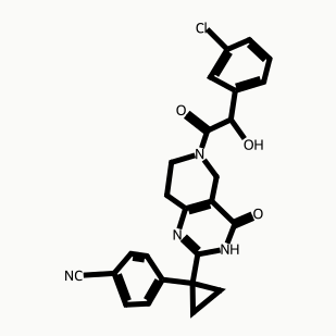 N#Cc1ccc(C2(c3nc4c(c(=O)[nH]3)CN(C(=O)C(O)c3cccc(Cl)c3)CC4)CC2)cc1